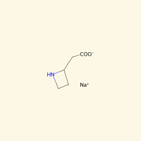 O=C([O-])CC1CCN1.[Na+]